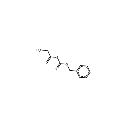 CCC(=O)SC(=S)SCc1ccccc1